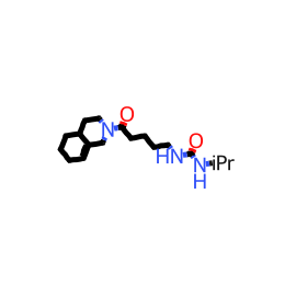 CC(C)NC(=O)NCCCCC(=O)N1CCC2CCCC=C2C1